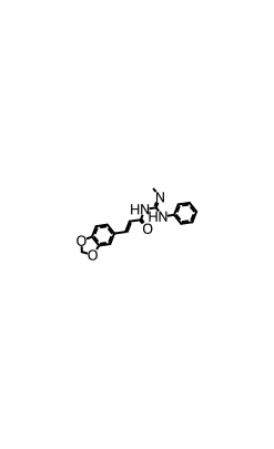 C/N=C(\NC(=O)/C=C/c1ccc2c(c1)OCO2)Nc1ccccc1